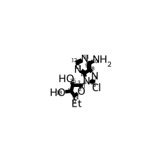 CC[C@H]1O[C@@H](n2c(Cl)nc3c(N)ncnc32)C(O)C1O